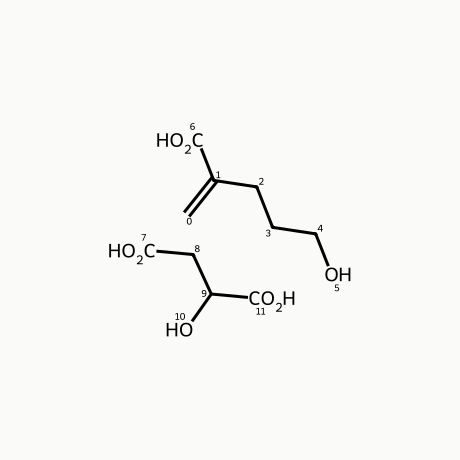 C=C(CCCO)C(=O)O.O=C(O)CC(O)C(=O)O